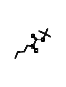 CCCCN(Cl)C(=O)OC(C)(C)C